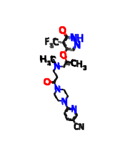 C[C@@H](CN(C)CCC(=O)N1CCN(c2ccc(C#N)cn2)CC1)Oc1cn[nH]c(=O)c1C(F)(F)F